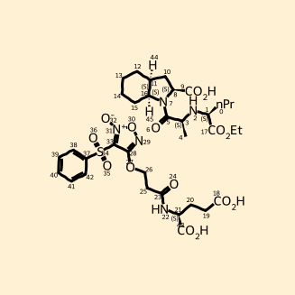 CCC[C@H](N[C@@H](C)C(=O)N1[C@H](C(=O)O)C[C@@H]2CCCC[C@@H]21)C(=O)OCC.O=C(O)CC[C@H](NC(=O)CCOc1no[n+]([O-])c1S(=O)(=O)c1ccccc1)C(=O)O